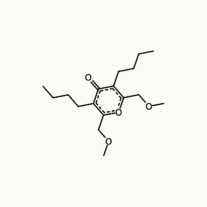 CCCCc1c(COC)oc(COC)c(CCCC)c1=O